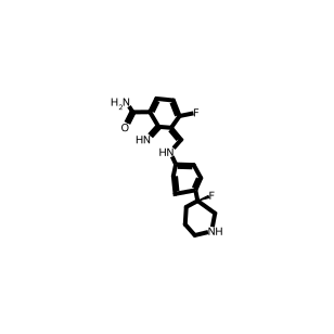 N=C1C(C(N)=O)=CC=C(F)/C1=C/Nc1ccc([C@@]2(F)CCCNC2)cc1